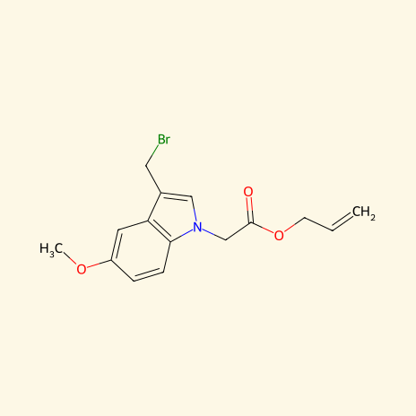 C=CCOC(=O)Cn1cc(CBr)c2cc(OC)ccc21